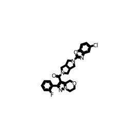 O=C(c1c(-c2ccccc2F)nn2c1COCC2)N1CC2CN(c3nc4cc(Cl)ccc4o3)CC2C1